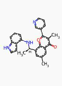 Cc1cc([C@@H](C)Nc2cccc3[nH]ccc23)c2oc(-c3cccnc3)c(C)c(=O)c2c1